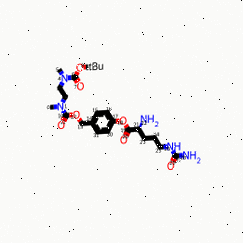 CN(CCN(C)C(=O)OC(C)(C)C)C(=O)OCc1ccc(OC(=O)[C@@H](N)CCCNC(N)=O)cc1